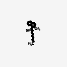 CCCCCCCCCc1c(C)ccc2ccccc12.[NaH]